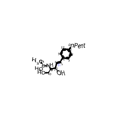 CCCCCc1ccc(/C=C/[C@H](O)[C@@H](CO)NB(C)O)cc1